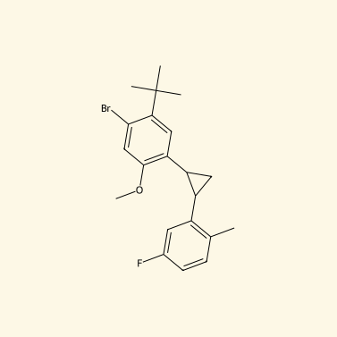 COc1cc(Br)c(C(C)(C)C)cc1C1CC1c1cc(F)ccc1C